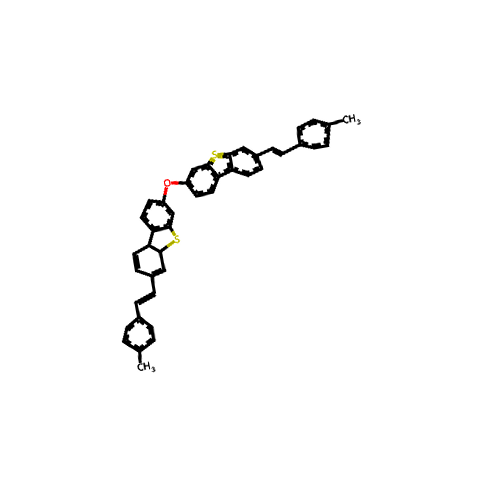 Cc1ccc(/C=C/C2=CC3Sc4cc(Oc5ccc6c(c5)sc5cc(/C=C/c7ccc(C)cc7)ccc56)ccc4C3C=C2)cc1